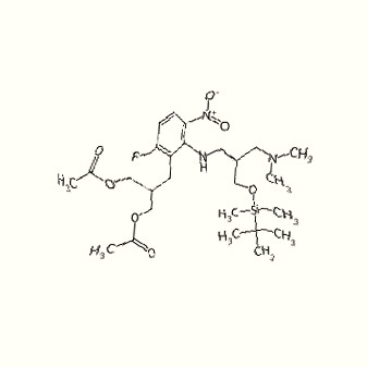 CC(=O)OCC(COC(C)=O)Cc1c(F)ccc([N+](=O)[O-])c1NCC(CO[Si](C)(C)C(C)(C)C)CN(C)C